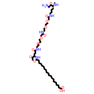 CN[C@@H](CCCCNC(=O)COCCOCCNC(=O)COCCOCCNC(=O)CCC(NC(=O)CCCCCCCCCCCCCCCCCCC(=O)O)C(C)=O)C(=O)CN